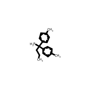 CCCC(P)(c1ccc(C)cc1)c1ccc(C)cc1